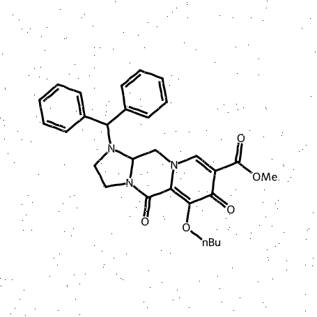 CCCCOc1c2n(cc(C(=O)OC)c1=O)CC1N(CCN1C(c1ccccc1)c1ccccc1)C2=O